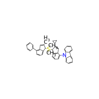 CC1=Cc2c(-c3ccccc3)cccc2C1S(C)(C)C1C(C2CC2)=Cc2c1cccc2-n1c2ccccc2c2ccccc21